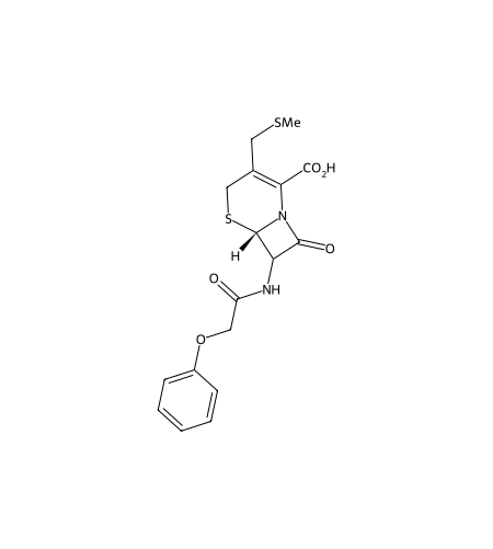 CSCC1=C(C(=O)O)N2C(=O)C(NC(=O)COc3ccccc3)[C@@H]2SC1